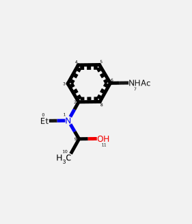 CCN(c1cccc(NC(C)=O)c1)C(C)O